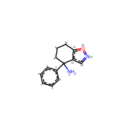 NC1(c2ccccc2)CCCc2oncc21